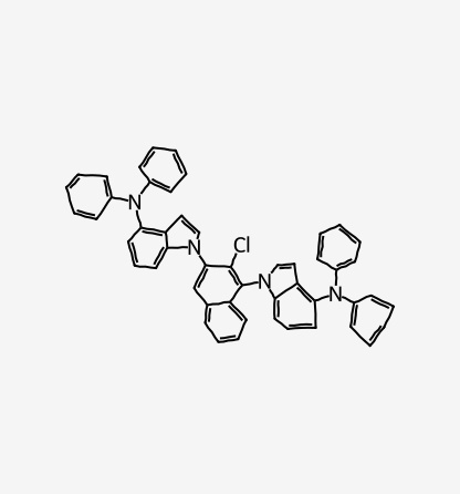 Clc1c(-n2ccc3c(N(c4ccccc4)c4ccccc4)cccc32)cc2ccccc2c1-n1ccc2c(N(c3ccccc3)c3ccccc3)cccc21